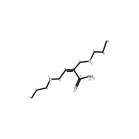 CCCOCC=C(COCCC)C(N)=O